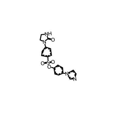 O=C1NCCN1c1ccc(S(=O)(=O)Oc2ccc(-n3ccnc3)cc2)cc1